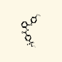 Cc1ccc(Nc2ccccc2NC(=O)c2ccc(S(N)(=O)=O)cc2)cc1